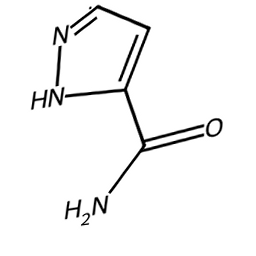 NC(=O)c1c[c]n[nH]1